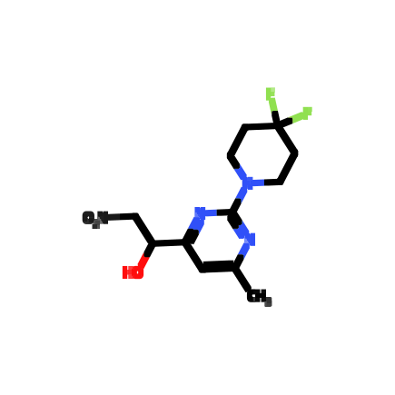 Cc1cc(C(O)C[N+](=O)[O-])nc(N2CCC(F)(F)CC2)n1